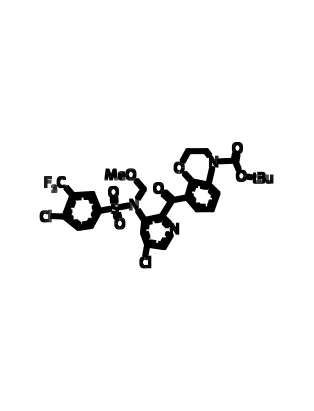 COCN(c1cc(Cl)cnc1C(=O)c1cccc2c1OCCN2C(=O)OC(C)(C)C)S(=O)(=O)c1ccc(Cl)c(C(F)(F)F)c1